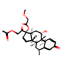 COCC(=O)O[C@]1(C(=O)COC(C)=O)CC[C@H]2[C@@H]3C[C@H](C)C4=CC(=O)C=C[C@]4(C)[C@H]3[C@@H](O)C[C@@]21C